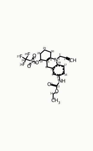 C#CCN1C2=C(Cc3cc(NC(=O)OCC)ccc31)C(OS(=O)(=O)C(F)(F)F)CCC2